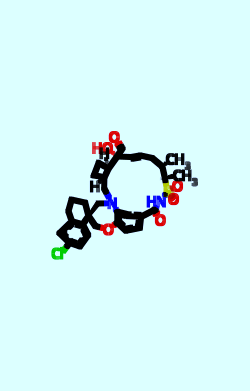 C[C@@H]1[C@@H](C)C/C=C/[C@](O)(C=O)[C@@H]2CC[C@H]2CN2C[C@@]3(CCCc4cc(Cl)ccc43)COc3ccc(cc32)C(=O)NS1(=O)=O